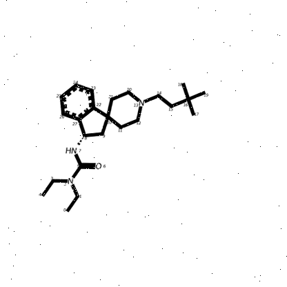 CCN(CC)C(=O)N[C@H]1CC2(CCN(CCC(C)(C)C)CC2)c2ccccc21